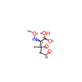 CO/N=C(\C(=O)O)C1(C)CCOO1